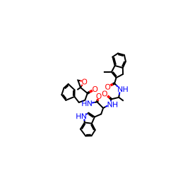 CC1=C(C(=O)NC(C)C(=O)NC(Cc2c[nH]c3ccccc23)C(=O)NC(Cc2ccccc2)C(=O)C2(C)CO2)Cc2ccccc21